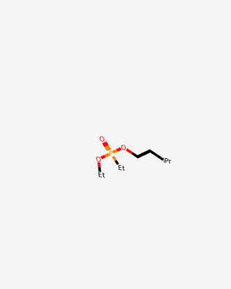 CCOP(=O)(CC)OCCC(C)C